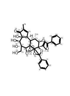 C=C(C)[C@@]12OC3(c4ccccc4)O[C@@H]1[C@@H]1[C@@H](Cl)[C@@](O)(CO)[C@@H](O)[C@]4(O)C(=O)C(C)=C[C@H]4[C@@]1(O3)[C@H](C)[C@H]2OC(=O)c1ccccc1